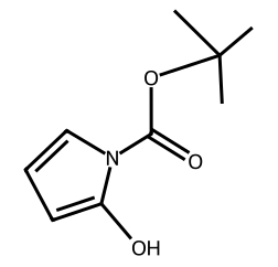 CC(C)(C)OC(=O)n1cccc1O